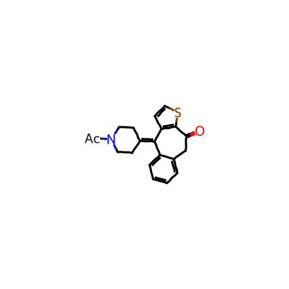 CC(=O)N1CCC(=C2c3ccccc3CC(=O)c3sccc32)CC1